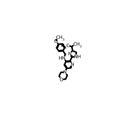 COc1ccc(CNc2cc(N3CCOCC3)cnc2C2=NC(C(C)C)CN2)cc1